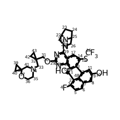 C#Cc1c(F)ccc2cc(O)cc(-c3c(SC(F)(F)F)cc4c(N5CC6CCC(C5)N6)nc(OCC5(CN6CCOC7(CC7)C6)CC5)nc4c3F)c12